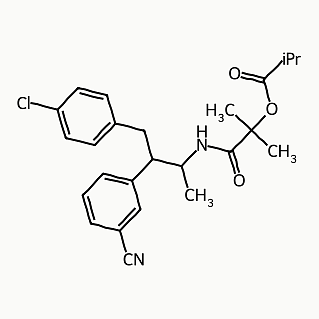 CC(C)C(=O)OC(C)(C)C(=O)NC(C)C(Cc1ccc(Cl)cc1)c1cccc(C#N)c1